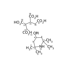 CC1(C)CC(O)CC(C)(C)N1.O=C(O)CC(C(=O)O)C(CC(=O)O)C(=O)O